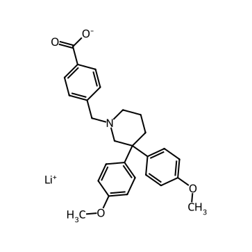 COc1ccc(C2(c3ccc(OC)cc3)CCCN(Cc3ccc(C(=O)[O-])cc3)C2)cc1.[Li+]